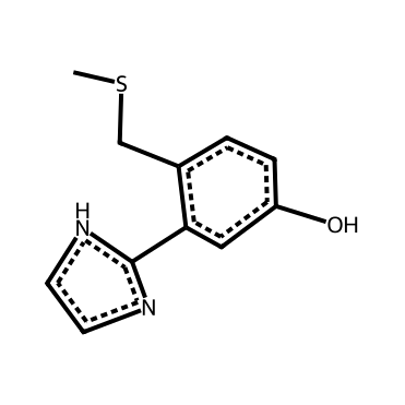 CSCc1ccc(O)cc1-c1ncc[nH]1